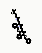 CC1=C(C/C=C(\C)CC/C=C(\C)CCC2OC2(C)C)C(OCc2ccccc2)c2ccccc2C1OCc1ccccc1